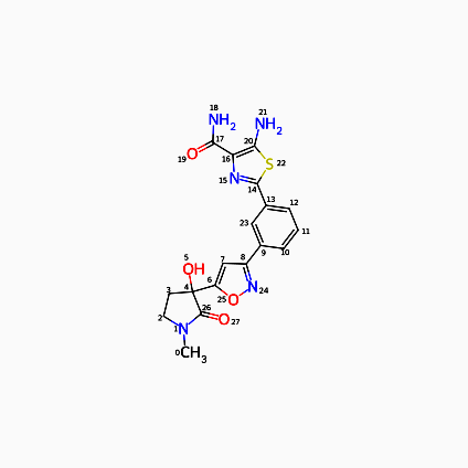 CN1CCC(O)(c2cc(-c3cccc(-c4nc(C(N)=O)c(N)s4)c3)no2)C1=O